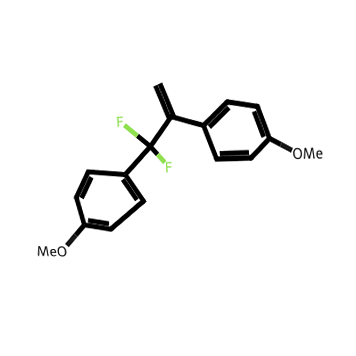 C=C(c1ccc(OC)cc1)C(F)(F)c1ccc(OC)cc1